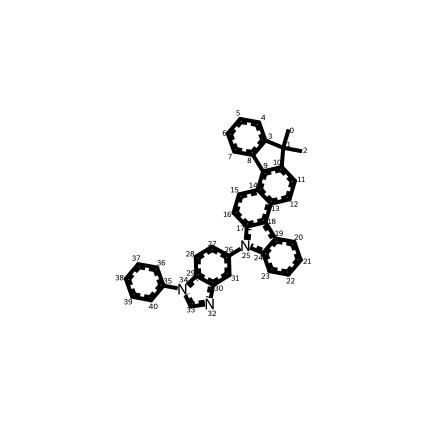 CC1(C)c2ccccc2-c2c1ccc1c2ccc2c1c1ccccc1n2-c1ccc2c(c1)ncn2-c1ccccc1